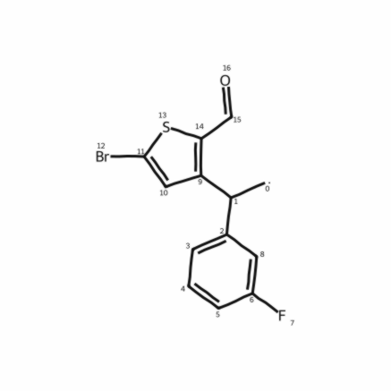 [CH2]C(c1cccc(F)c1)c1cc(Br)sc1C=O